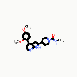 CNC(=O)N1CC=C(c2cc3c(-c4ccc(OC)cc4OC)ccnc3[nH]2)CC1